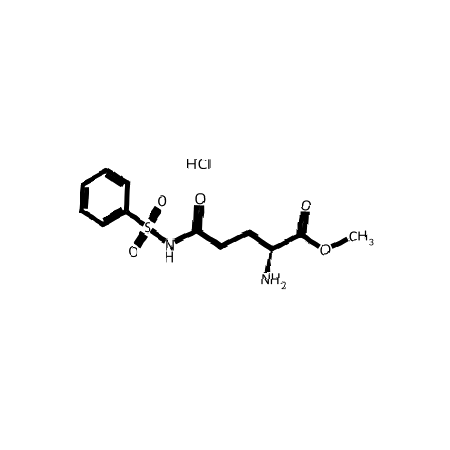 COC(=O)[C@@H](N)CCC(=O)NS(=O)(=O)c1ccccc1.Cl